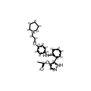 CC(=O)Oc1cn[nH]c1-c1ccccc1Nc1ccc(OCCN2CCCCC2)cc1